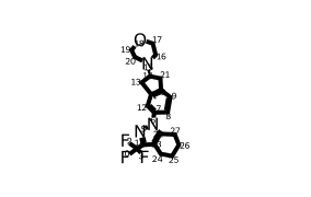 FC(F)(F)c1nn(-c2ccc3c(c2)C[C@@H](N2CCOCC2)C3)c2c1CCCC2